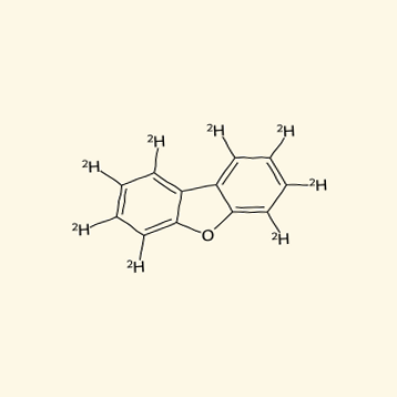 [2H]c1c([2H])c([2H])c2c(oc3c([2H])c([2H])c([2H])c([2H])c32)c1[2H]